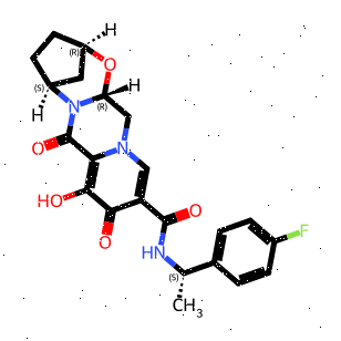 C[C@H](NC(=O)c1cn2c(c(O)c1=O)C(=O)N1[C@H]3CC[C@H](C3)O[C@@H]1C2)c1ccc(F)cc1